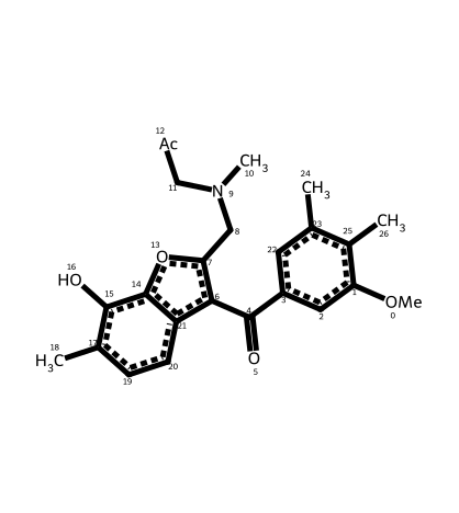 COc1cc(C(=O)c2c(CN(C)CC(C)=O)oc3c(O)c(C)ccc23)cc(C)c1C